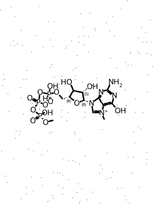 COP(=O)(O)OP(=O)(O)OP(=O)(O)OC[C@H]1O[C@@H](n2c[n+](C)c3c(O)nc(N)nc32)[C@@H](O)C1O